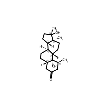 C[C@H]1CC(=O)C[C@@H]2CC[C@@H]3[C@H](CC[C@@]4(C)[C@H]3CC[C@]4(C)O)[C@]21C